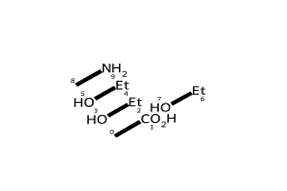 CC(=O)O.CCO.CCO.CCO.CN